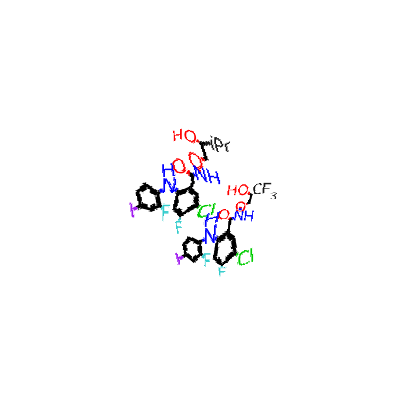 CC(C)C(O)CONC(=O)c1cc(Cl)c(F)cc1Nc1ccc(I)cc1F.O=C(NOCC(O)C(F)(F)F)c1cc(Cl)c(F)cc1Nc1ccc(I)cc1F